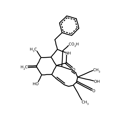 C=C1C(C)C2C(Cc3ccccc3)NC(=O)C23C(CC(=O)O)C=CC(C)(O)C(=O)C(C)CC=CC3C1O